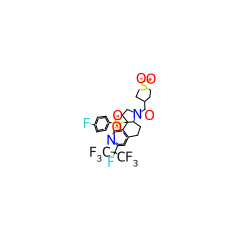 O=C(C1CCS(=O)(=O)CC1)N1CCC2(S(=O)(=O)c3ccc(F)cc3)c3cnc(C(F)(C(F)(F)F)C(F)(F)F)cc3CCC12